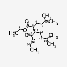 CCOC(=O)C(CCC(C)C)=C(CCC(C)C)C(=O)OCC